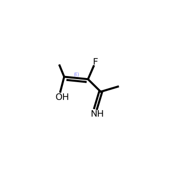 CC(=N)/C(F)=C(/C)O